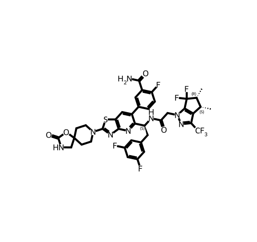 C[C@@H]1c2c(C(F)(F)F)nn(CC(=O)N[C@@H](Cc3cc(F)cc(F)c3)c3nc4nc(N5CCC6(CC5)CNC(=O)O6)sc4cc3-c3ccc(F)c(C(N)=O)c3)c2C(F)(F)[C@@H]1C